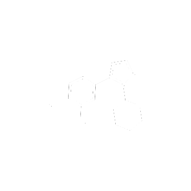 N#Cc1ccc(-c2ccnn2C2CCCCO2)cc1C#N